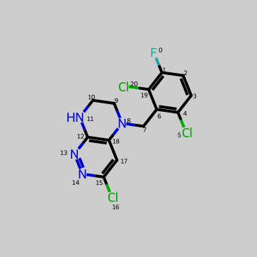 Fc1ccc(Cl)c(CN2CCNc3nnc(Cl)cc32)c1Cl